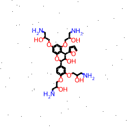 NCC(O)COc1cc(OCC(O)CN)c2c(c1)OC(c1ccc(OCC(O)CN)c(OCC(O)CN)c1)C(O)C2c1ccco1